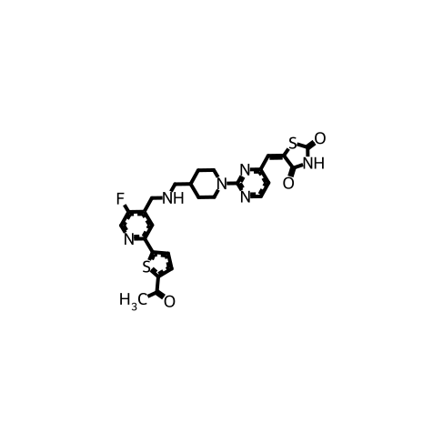 CC(=O)c1ccc(-c2cc(CNCC3CCN(c4nccc(C=C5SC(=O)NC5=O)n4)CC3)c(F)cn2)s1